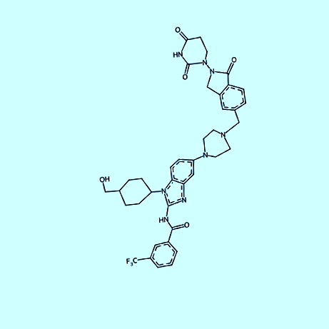 O=C1CCN(N2Cc3cc(CN4CCN(c5ccc6c(c5)nc(NC(=O)c5cccc(C(F)(F)F)c5)n6C5CCC(CO)CC5)CC4)ccc3C2=O)C(=O)N1